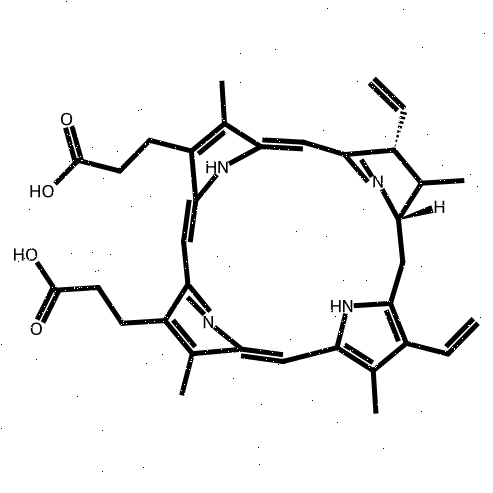 C=Cc1c2[nH]c(c1C)/C=C1N=C(/C=c3\[nH]/c(c(C)c3CCC(=O)O)=C\C3=N[C@@H](C2)C(C)[C@H]3C=C)C(CCC(=O)O)=C\1C